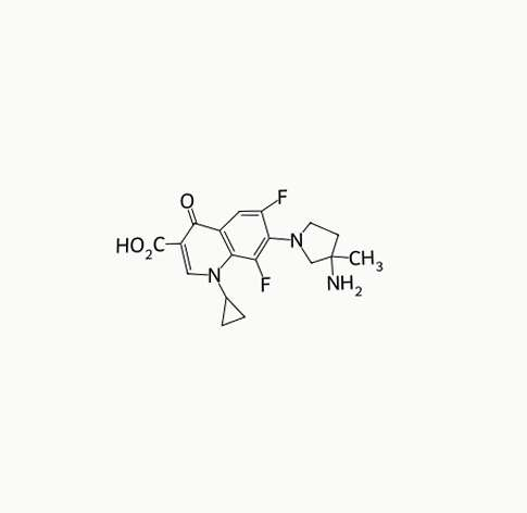 CC1(N)CCN(c2c(F)cc3c(=O)c(C(=O)O)cn(C4CC4)c3c2F)C1